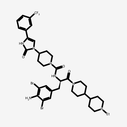 CCN1CCC(C2CCN(C(=O)[C@@H](Cc3cc(Br)c(N)c(Br)c3)NC(=O)N3CCC(n4cc(-c5cccc(C(F)(F)F)c5)[nH]c4=O)CC3)CC2)CC1